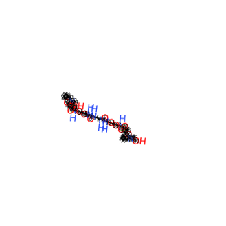 O=C(NCCCCNC(=O)NCCOCCOCCNS(=O)(=O)c1ccc(O[C@H]2c3ccccc3C[C@@H]2N2CC[C@@H](O)C2)cc1)NCCOCCOCCNS(=O)(=O)c1ccc(O[C@H]2c3ccccc3C[C@@H]2N2CC[C@@H](O)C2)cc1